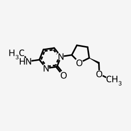 CNc1ccn(C2CC[C@@H](COC)O2)c(=O)n1